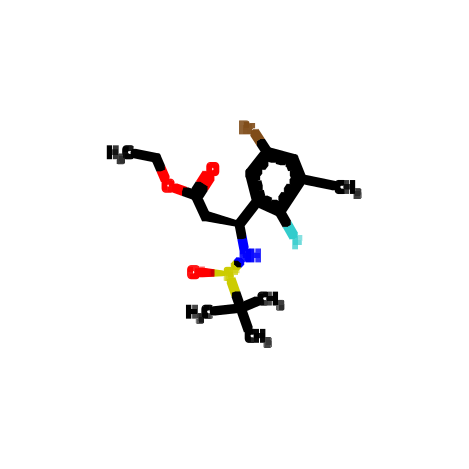 CCOC(=O)C[C@H](N[S@+]([O-])C(C)(C)C)c1cc(Br)cc(C)c1F